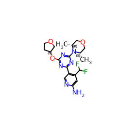 C[C@@H]1COC[C@H](C)N1c1nc(O[C@H]2CCOC2)nc(-c2cnc(N)cc2C(F)F)n1